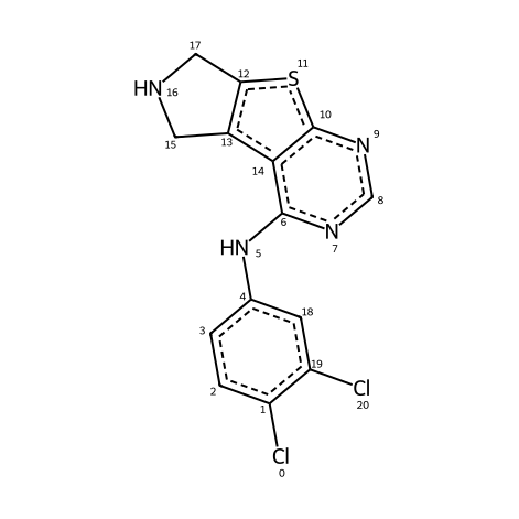 Clc1ccc(Nc2ncnc3sc4c(c23)CNC4)cc1Cl